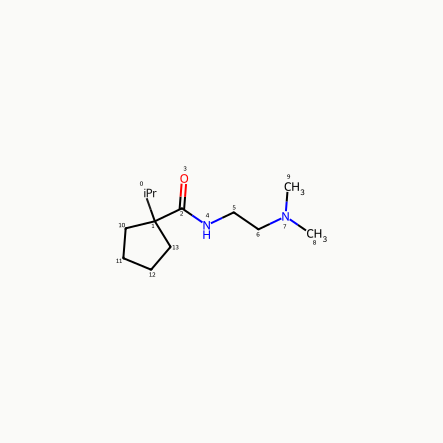 CC(C)C1(C(=O)NCCN(C)C)CCCC1